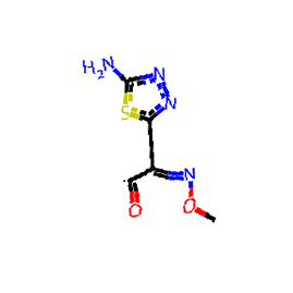 CON=C([C]=O)c1nnc(N)s1